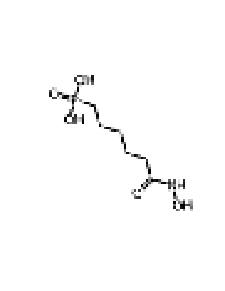 O=C(CCCCCP(=O)(O)O)NO